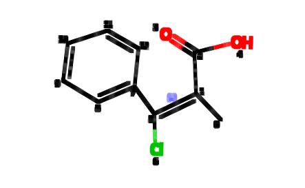 C/C(C(=O)O)=C(\Cl)c1ccccc1